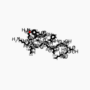 CCCCCC(=O)N[C@@H](CO)C(=O)N[C@@H](CCC(=O)O)C(=O)N[C@@H](CO)C(=O)NCC(=O)N[C@H](C(=O)N[C@@H](C)C(=O)N[C@@H](Cc1c[nH]c2ccccc12)C(=O)NCC(=O)NCC(=O)NC(C(=O)N[C@@H](CCCCCN)C(=O)N[C@@H](CCCCN)C(=O)N[C@@H](CC(N)=O)C(=O)N[C@@H](Cc1ccc(O)cc1)C(=O)N[C@@H](C)C(=O)O)[C@@H](C)CC)[C@@H](C)CC